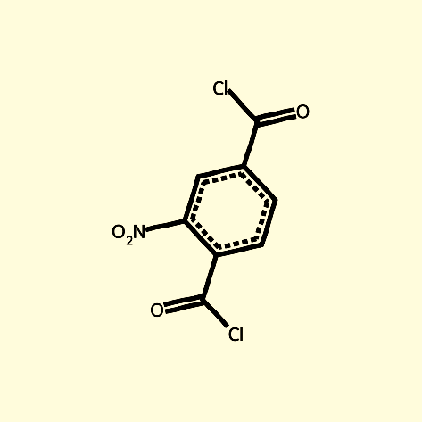 O=C(Cl)c1ccc(C(=O)Cl)c([N+](=O)[O-])c1